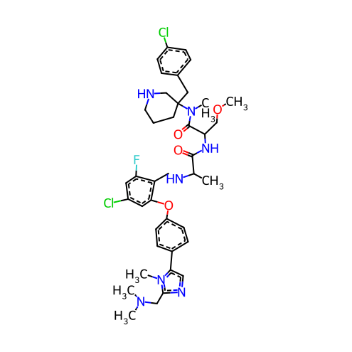 COCC(NC(=O)C(C)NCc1c(F)cc(Cl)cc1Oc1ccc(-c2cnc(CN(C)C)n2C)cc1)C(=O)N(C)C1(Cc2ccc(Cl)cc2)CCCNC1